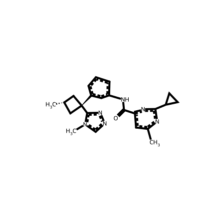 Cc1cc(C(=O)Nc2cccc([C@]3(c4nncn4C)C[C@@H](C)C3)c2)nc(C2CC2)n1